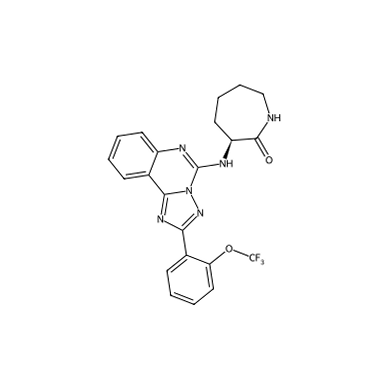 O=C1NCCCC[C@@H]1Nc1nc2ccccc2c2nc(-c3ccccc3OC(F)(F)F)nn12